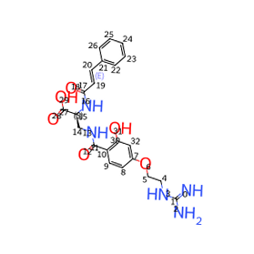 N=C(N)NCCOc1ccc(C(=O)NC[C@H](NC(=O)/C=C/c2ccccc2)C(=O)O)c(O)c1